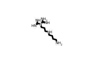 N=C(N)N(CCCNCCCCN)C(=N)N